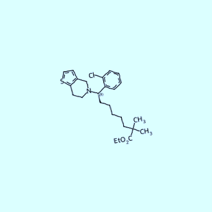 CCOC(=O)C(C)(C)CCCCC[C@H](c1ccccc1Cl)N1CCc2sccc2C1